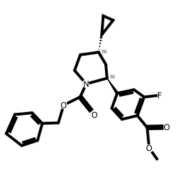 COC(=O)c1ccc([C@@H]2C[C@@H](C3CC3)CCN2C(=O)OCc2ccccc2)cc1F